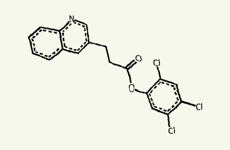 O=C(CCc1cnc2ccccc2c1)Oc1cc(Cl)c(Cl)cc1Cl